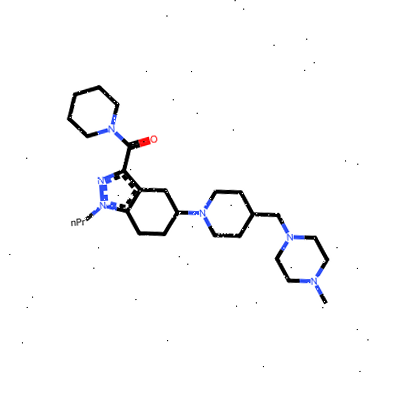 CCCn1nc(C(=O)N2CCCCC2)c2c1CCC(N1CCC(CN3CCN(C)CC3)CC1)C2